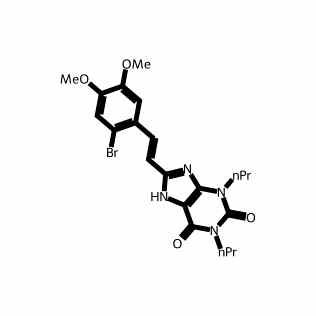 CCCn1c(=O)c2[nH]c(C=Cc3cc(OC)c(OC)cc3Br)nc2n(CCC)c1=O